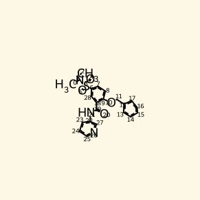 CN(C)S(=O)(=O)c1ccc(OCc2ccccc2)c(C(=O)Nc2cccnc2)c1